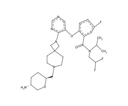 CC(C)N(CC(F)F)C(=O)c1cc(F)ccc1Oc1cncnc1N1CC2(CCN(C[C@@H]3CC[C@@H](N)CO3)CC2)C1